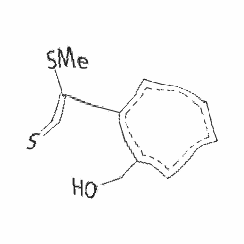 CSC(=S)c1ccccc1O